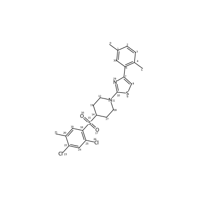 Cc1ccc(C)c(-c2csc(N3CCC(S(=O)(=O)c4cc(C)c(Cl)cc4Cl)CC3)n2)c1